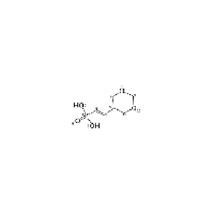 O=P(O)(O)C=CC1COCOC1